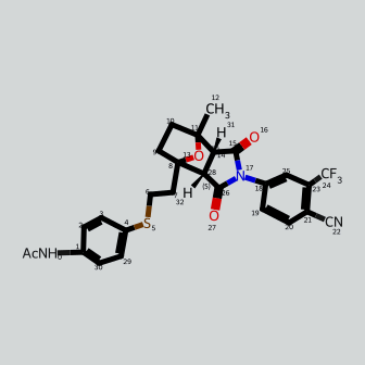 CC(=O)Nc1ccc(SCCC23CCC(C)(O2)[C@@H]2C(=O)N(c4ccc(C#N)c(C(F)(F)F)c4)C(=O)[C@@H]23)cc1